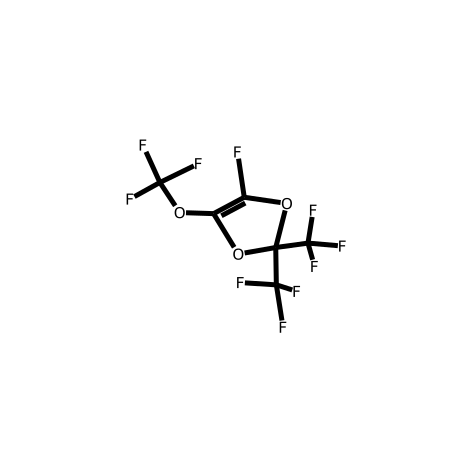 FC1=C(OC(F)(F)F)OC(C(F)(F)F)(C(F)(F)F)O1